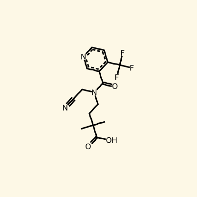 CC(C)(CCN(CC#N)C(=O)c1cnccc1C(F)(F)F)C(=O)O